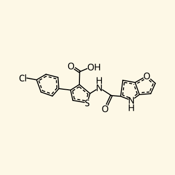 O=C(Nc1scc(-c2ccc(Cl)cc2)c1C(=O)O)c1cc2occc2[nH]1